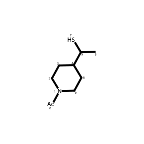 CC(=O)N1CCC(C(C)S)CC1